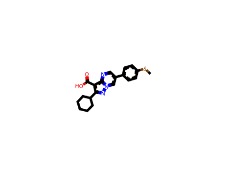 CSc1ccc(-c2cnc3c(C(=O)O)c(C4CCCCC4)nn3c2)cc1